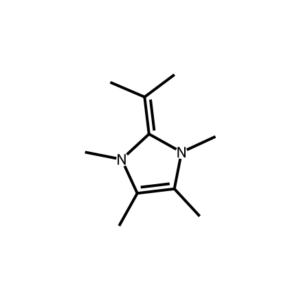 CC(C)=C1N(C)C(C)=C(C)N1C